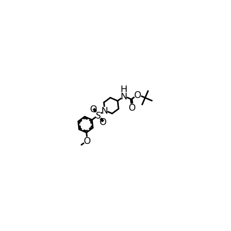 COc1cccc(S(=O)(=O)N2CCC(NC(=O)OC(C)(C)C)CC2)c1